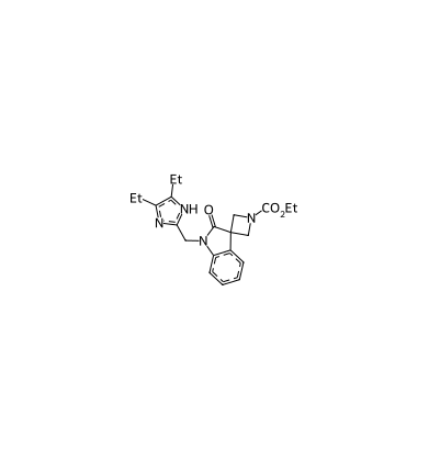 CCOC(=O)N1CC2(C1)C(=O)N(Cc1nc(CC)c(CC)[nH]1)c1ccccc12